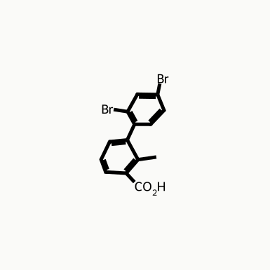 Cc1c(C(=O)O)cccc1-c1ccc(Br)cc1Br